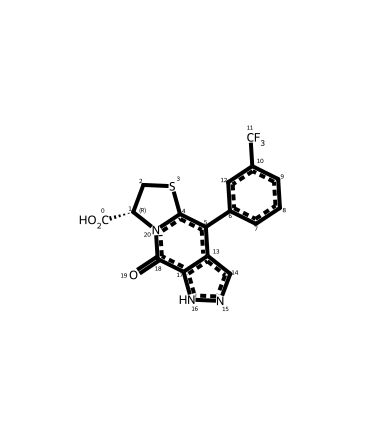 O=C(O)[C@@H]1CSc2c(-c3cccc(C(F)(F)F)c3)c3cn[nH]c3c(=O)n21